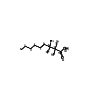 CCCCCCC(F)(F)C(F)(F)C(=O)O